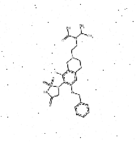 CC(C)N(CCN1CCc2cc(OCc3ccccc3)c(N3CC(=O)NS3(=O)=O)c(F)c2C1)C(=O)O